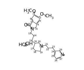 COc1cc2c(cc1OC)C(=O)N(CCCC1CCCN(CCCc3cccnc3)C1)C2.Cl.Cl